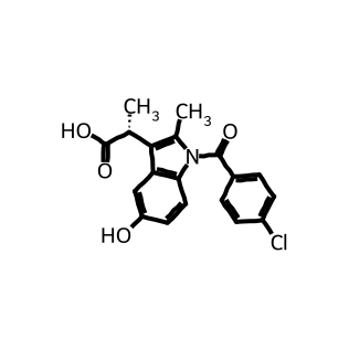 Cc1c([C@@H](C)C(=O)O)c2cc(O)ccc2n1C(=O)c1ccc(Cl)cc1